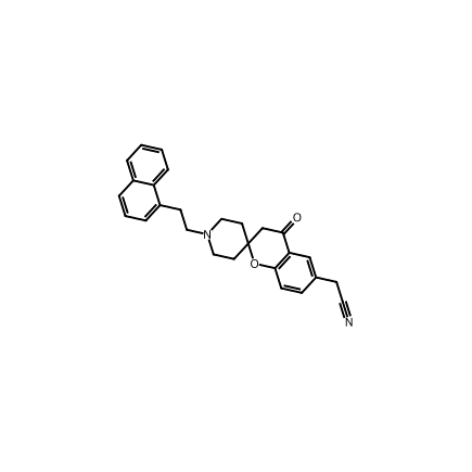 N#CCc1ccc2c(c1)C(=O)CC1(CCN(CCc3cccc4ccccc34)CC1)O2